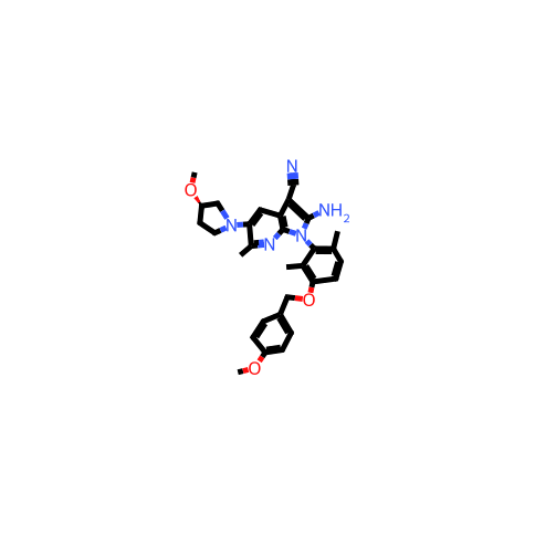 COc1ccc(COc2ccc(C)c(-n3c(N)c(C#N)c4cc(N5CC[C@@H](OC)C5)c(C)nc43)c2C)cc1